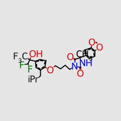 CC(C)Cc1cc(C(O)(C(F)F)C(F)(F)F)ccc1OCCCCN1C(=O)NC(C)(c2ccc3c(c2)OCO3)C1=O